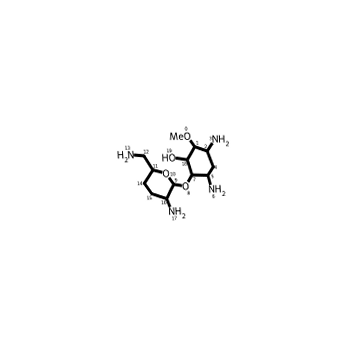 COC1C(N)CC(N)C(OC2OC(CN)CCC2N)C1O